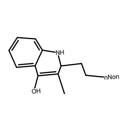 CCCCCCCCCCCC1Nc2ccccc2C(O)=C1C